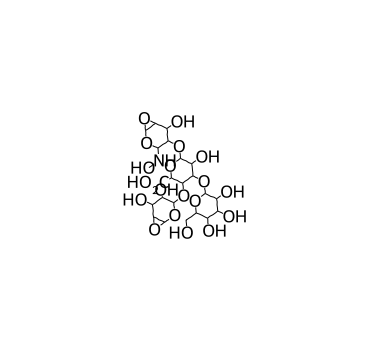 O=C(O)C1OC(OC2C(NO)OC3OC3C2O)C(O)C(OC2OC(CO)C(O)C(O)C2O)C1OC1OC2OC2C(O)C1O